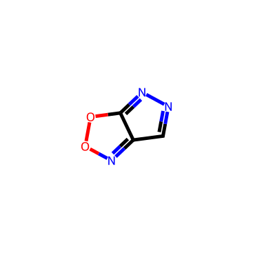 c1nnc2oonc1-2